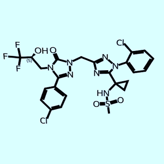 CS(=O)(=O)NC1(c2nc(Cn3nc(-c4ccc(Cl)cc4)n(C[C@H](O)C(F)(F)F)c3=O)nn2-c2ccccc2Cl)CC1